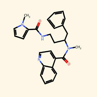 CN(C(=O)c1ccnc2ccccc12)C(CCNC(=O)c1cccn1C)Cc1ccccc1